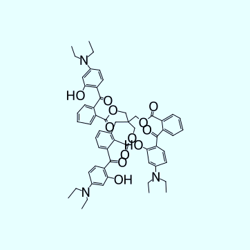 CCN(CC)c1ccc(C(=O)c2ccccc2C(=O)OCC2(COC(=O)c3ccccc3C(=O)c3ccc(N(CC)CC)cc3O)COC(=O)c3c(cccc3C(=O)c3ccc(N(CC)CC)cc3O)C2)c(O)c1